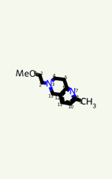 COCCN1CCc2nc(C)ccc2C1